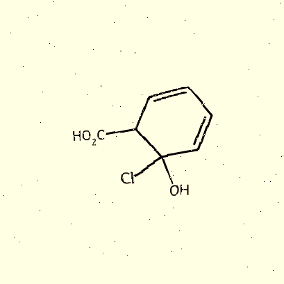 O=C(O)C1C=CC=CC1(O)Cl